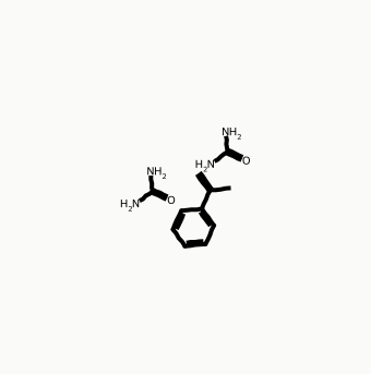 C=C(C)c1ccccc1.NC(N)=O.NC(N)=O